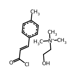 C[N+](C)(C)CCO.Cc1ccc(/C=C/C(=O)Cl)cc1